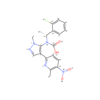 Cc1nc(-c2cnn(C)c2N(C(=O)O)[C@H](C)c2ccccc2F)ccc1[N+](=O)[O-]